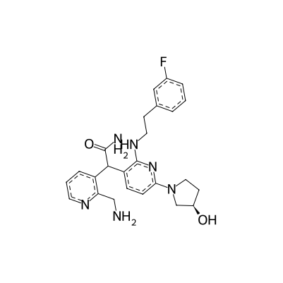 NCc1ncccc1C(C(N)=O)c1ccc(N2CC[C@@H](O)C2)nc1NCCc1cccc(F)c1